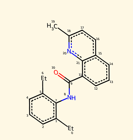 CCc1cccc(CC)c1NC(=O)c1cccc2ccc(C)nc12